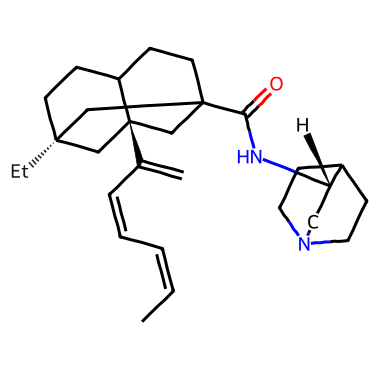 C=C(/C=C\C=C/C)[C@]12CC3(C(=O)N[C@H]4CN5CCC4CC5)CCC1CC[C@@](CC)(C3)C2